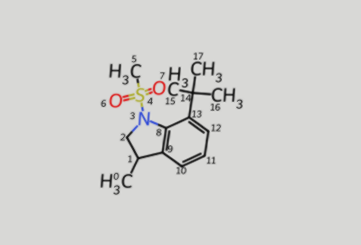 CC1CN(S(C)(=O)=O)c2c1cccc2C(C)(C)C